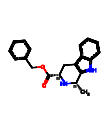 C[C@@H]1N[C@H](C(=O)OCc2ccccc2)Cc2c1[nH]c1ccccc21